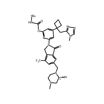 CC(C)[C@H]1CN(C)CCN1Cc1cc2c(c(C(F)(F)F)c1)CN(c1cc(C3(Cc4nncn4C)CCC3)cc(OC(=O)NC(C)(C)C)n1)C2=O